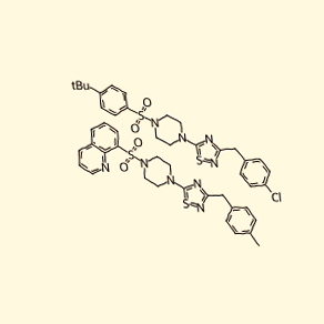 CC(C)(C)c1ccc(S(=O)(=O)N2CCN(c3nc(Cc4ccc(Cl)cc4)ns3)CC2)cc1.Cc1ccc(Cc2nsc(N3CCN(S(=O)(=O)c4cccc5cccnc45)CC3)n2)cc1